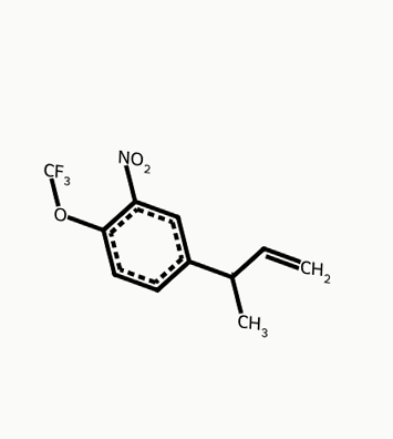 C=C[C](C)c1ccc(OC(F)(F)F)c([N+](=O)[O-])c1